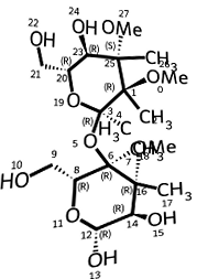 CO[C@@]1(C)[C@@](C)(O[C@]2(C)[C@@H](CO)O[C@@H](O)[C@H](O)[C@@]2(C)OC)O[C@H](CO)[C@@H](O)[C@]1(C)OC